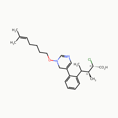 CC(C)=CCCCCON1C=NC=C(c2ccccc2C(C)[C@H](C)[C@H](Cl)C(=O)O)C1